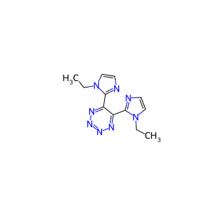 CCn1ccnc1-c1nnnnc1-c1nccn1CC